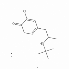 CC(CC1=CCC(=O)C(Cl)=C1)NC(C)(C)C